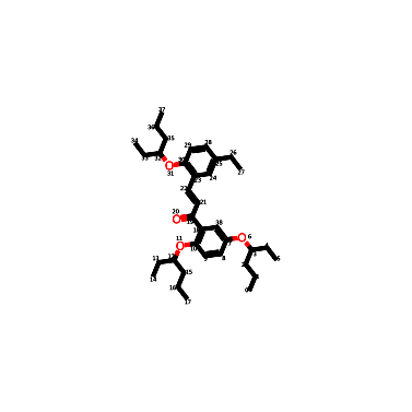 CCCC(CC)Oc1ccc(OC(CC)CCC)c(C(=O)/C=C/c2cc(CC)ccc2OC(CC)CCC)c1